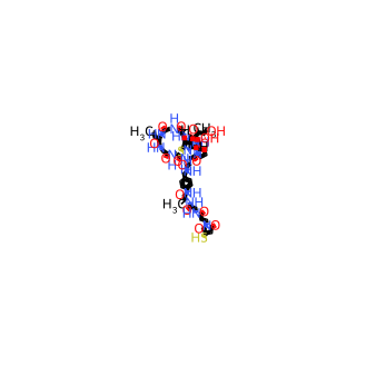 CCCC1NC(=O)CNC(=O)[C@H]2Cc3c([nH]c4ccccc34)SC(NC(=O)CNC1=O)C(=O)N[C@@H](CC(=O)NCc1ccc(NC(=O)[C@H](C)NC(=O)CNC(=O)CCN3C(=O)CC(S)C3=O)cc1)C(=O)N1CCC[C@H]1C(=O)NC([C@@H](C)[C@@H](O)CO)C(=O)N2